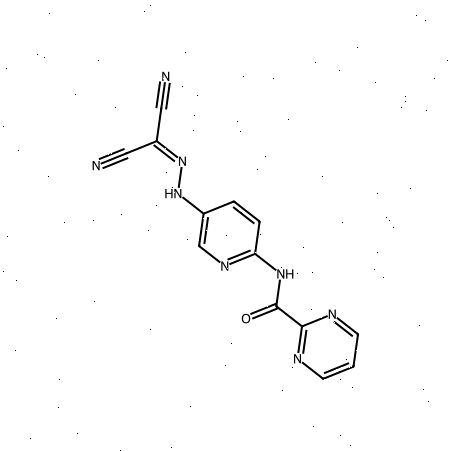 N#CC(C#N)=NNc1ccc(NC(=O)c2ncccn2)nc1